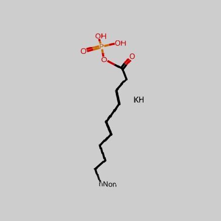 CCCCCCCCCCCCCCCCCC(=O)OP(=O)(O)O.[KH]